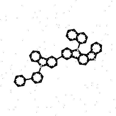 c1ccc(-c2cccc(-n3c4ccccc4c4cc(-c5ccc6c(c5)c5ccc7sc8ccccc8c7c5n6-c5cccc6ccccc56)ccc43)c2)cc1